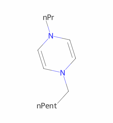 CCCCCCN1C=CN(CCC)C=C1